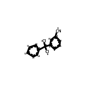 N#Cc1cccc(C(Cl)(Cl)c2ccccc2)c1